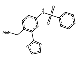 CNCc1ccc(NS(=O)(=O)c2ccccc2)cc1-c1ccco1